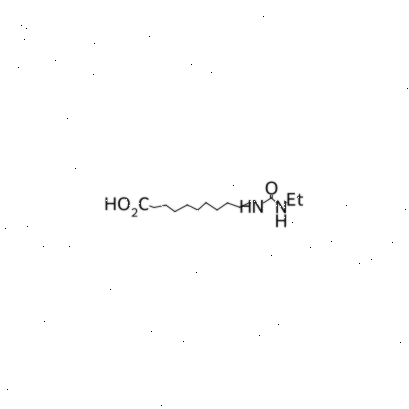 CCNC(=O)NCCCCCCCCCCC(=O)O